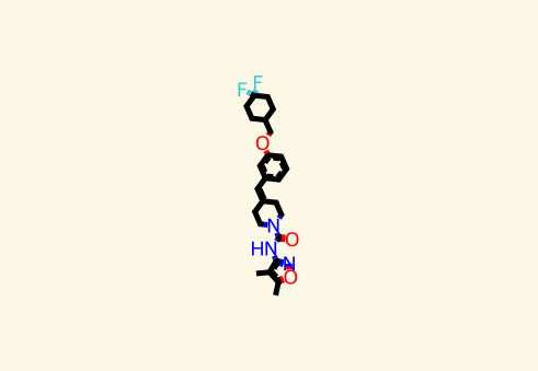 Cc1onc(NC(=O)N2CCC(=Cc3cccc(OCC4CCC(F)(F)CC4)c3)CC2)c1C